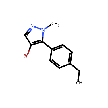 CCc1ccc(-c2c(Br)cnn2C)cc1